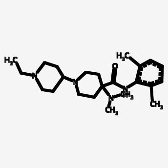 CCN1CCC(N2CCC(C(=O)Nc3c(C)cccc3C)(N(C)C)CC2)CC1